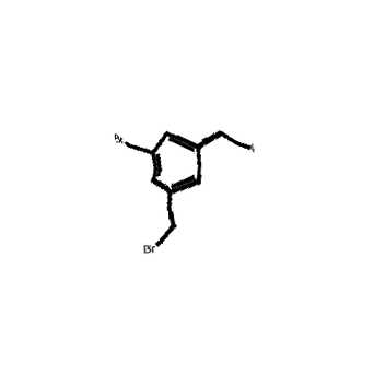 BrCc1cc(Br)cc(CI)c1